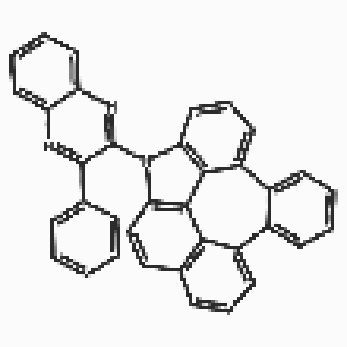 c1ccc(-c2nc3ccccc3nc2-n2c3cccc4c3c3c5c(cccc5ccc32)-c2ccccc2-4)cc1